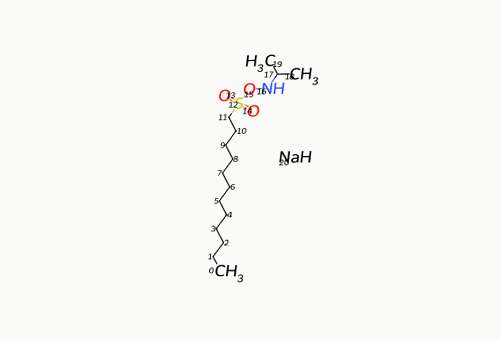 CCCCCCCCCCCCS(=O)(=O)ONC(C)C.[NaH]